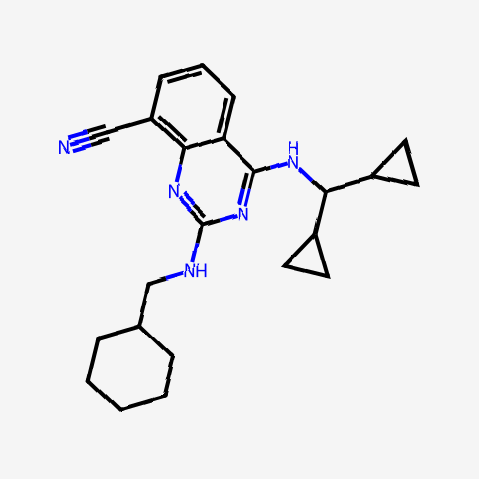 N#Cc1cccc2c(NC(C3CC3)C3CC3)nc(NCC3CCCCC3)nc12